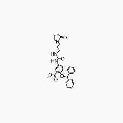 COC(=O)c1cc(NC(=O)NCCCN2CCCC2=O)ccc1OC(c1ccccc1)c1ccccc1